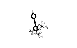 CC(C)(C)Oc1cc(NC(=O)O)c([N+](=O)[O-])cc1C#Cc1ccc(F)cc1